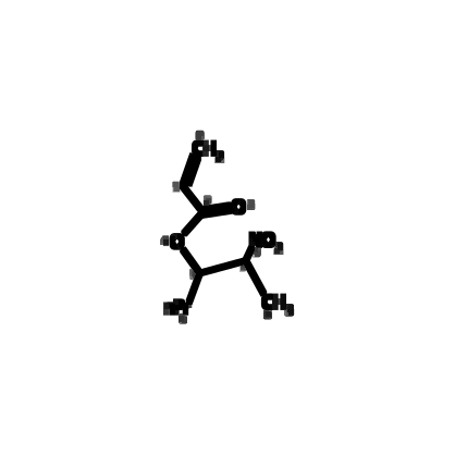 C=CC(=O)OC(CCC)C(C)[N+](=O)[O-]